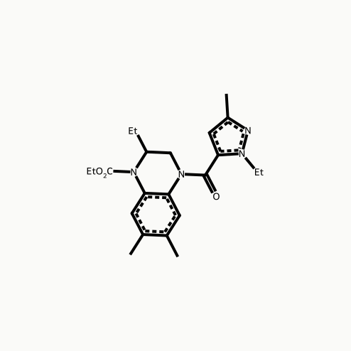 CCOC(=O)N1c2cc(C)c(C)cc2N(C(=O)c2cc(C)nn2CC)CC1CC